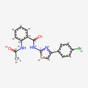 O=C(Nc1nc(-c2ccc(Br)cc2)cs1)c1ccccc1NC(=O)C(F)(F)F